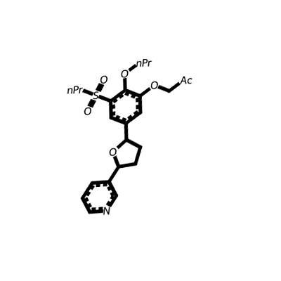 CCCOc1c(OCC(C)=O)cc(C2CCC(c3cccnc3)O2)cc1S(=O)(=O)CCC